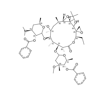 CC[C@H]1OC(=O)[C@H](C)[C@@H](OC2C[C@@](C)(OC)[C@@H](OC(=O)c3ccccc3)[C@H](C)O2)[C@H](C)[C@@H](OC2O[C@H](C)C[C@H](N(C)C)[C@H]2OC(=O)c2ccccc2)[C@@](C)(OC)C[C@@H](C)[C@@H]2OC(C)(C)O[C@H]([C@H]2C)[C@@]12CO2